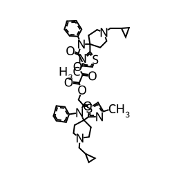 Cc1csc(C2(N(C(=O)COC(=O)C(=O)OCC(=O)N(c3ccccc3)C3(c4nc(C)cs4)CCN(CC4CC4)CC3)c3ccccc3)CCN(CC3CC3)CC2)n1